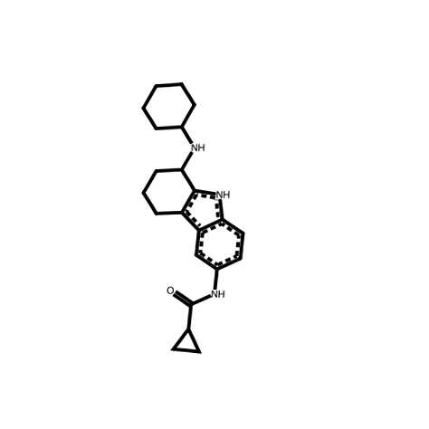 O=C(Nc1ccc2[nH]c3c(c2c1)CCCC3NC1CCCCC1)C1CC1